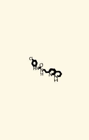 O=C(NCCc1ccc2c(n1)NCCC2)Nc1ccc(Cl)cc1